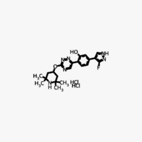 CC1(C)CC(Oc2ncc(-c3ccc(-c4c[nH]nc4F)cc3O)nn2)CC(C)(C)N1.Cl.Cl